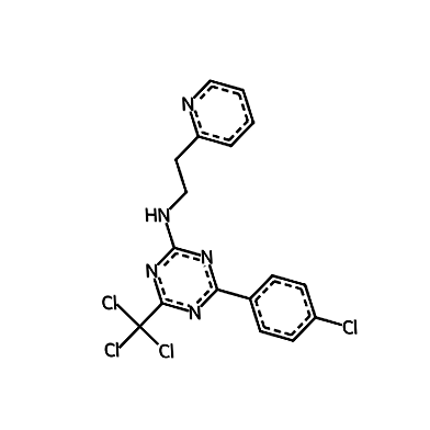 Clc1ccc(-c2nc(NCCc3ccccn3)nc(C(Cl)(Cl)Cl)n2)cc1